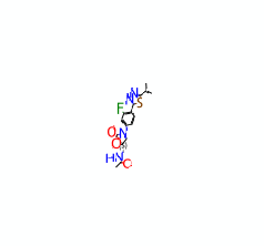 CC(=O)NC[C@H]1CN(c2ccc(-c3nnc(C(C)C)s3)c(F)c2)C(=O)O1